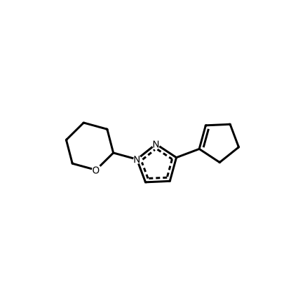 C1=C(c2ccn(C3CCCCO3)n2)CCC1